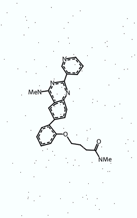 CNC(=O)CCCOc1ccccc1-c1ccc2nc(-c3cccnc3)nc(NC)c2c1